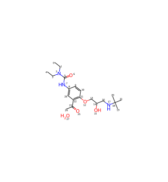 CCN(CC)C(=O)Nc1ccc(OCC(O)CNC(C)(C)C)c(C(C)=O)c1.O